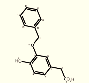 O=C(O)Cc1ccc(O)c(OCc2ccccc2)c1